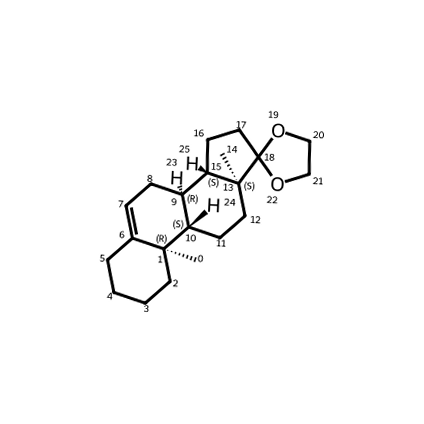 C[C@]12CCCCC1=CC[C@@H]1[C@@H]2CC[C@@]2(C)[C@H]1CCC21OCCO1